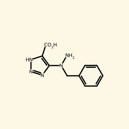 NN(Cc1ccccc1)c1nn[nH]c1C(=O)O